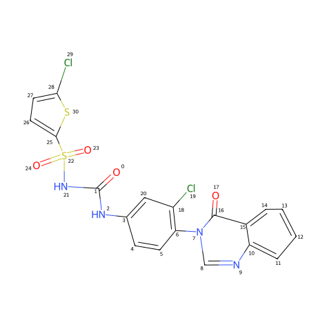 O=C(Nc1ccc(-n2cnc3ccccc3c2=O)c(Cl)c1)NS(=O)(=O)c1ccc(Cl)s1